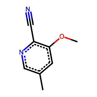 COc1cc(C)cnc1C#N